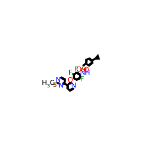 CSc1nccc(-c2cccnc2Oc2cc(F)c(NS(=O)(=O)Cc3ccc(C4CC4)cc3)c(F)c2F)n1